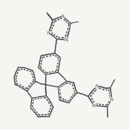 Cc1nc(C)nc(-c2ccc3c(c2)-c2cc(-c4nc(C)nc(C)n4)ccc2C32c3ccccc3-c3ccccc32)n1